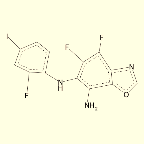 Nc1c(Nc2ccc(I)cc2F)c(F)c(F)c2ncoc12